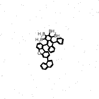 Bc1c(B)c(B)c2c(-c3cccc4oc5cc(-c6cccc7ccccc67)ccc5c34)c3ccccc3c(-c3ccccc3)c2c1B